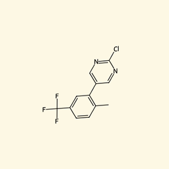 Cc1ccc(C(F)(F)F)cc1-c1cnc(Cl)nc1